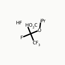 CC(C)OC(F)(C(=O)O)C(F)(F)F.F